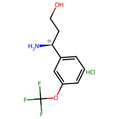 Cl.N[C@@H](CCO)c1cccc(OC(F)(F)F)c1